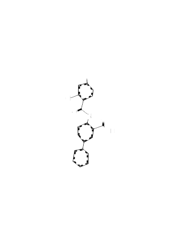 O=C(Nc1ccc(-c2ccccc2)cc1C(=O)O)c1ccc(Cl)cc1Cl